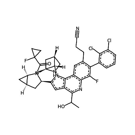 CC(O)c1nc2c(F)c(-c3cccc(Cl)c3Cl)c(CCC#N)cc2c2c1cc([C@H]1C[C@H]3C[C@H]3N1C(=O)C1(F)CC1)n2[C@H]1[C@H]2CN[C@@H]1C2